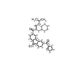 C=C(C)O/N=C(\CC1CCCCC1)C(=O)c1ccc2c(c1)c1cc(C(=O)c3ccco3)ccc1n2CC